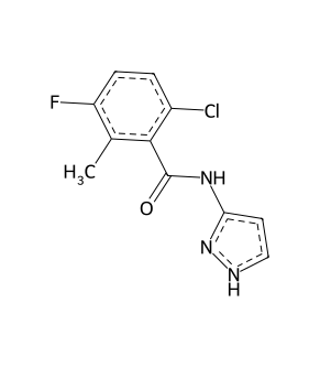 Cc1c(F)ccc(Cl)c1C(=O)Nc1cc[nH]n1